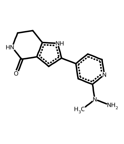 CN(N)c1cc(-c2cc3c([nH]2)CCNC3=O)ccn1